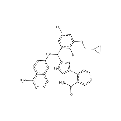 CCc1cc(OCC2CC2)c(F)c(C(Nc2ccc3c(N)nccc3c2)c2nc(-c3ccccc3C(N)=O)c[nH]2)c1